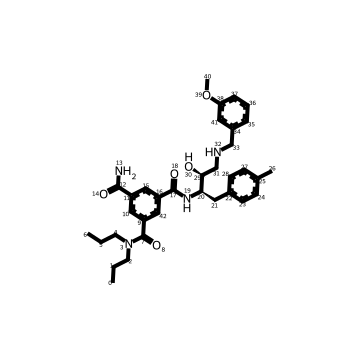 CCCN(CCC)C(=O)c1cc(C(N)=O)cc(C(=O)N[C@H](Cc2ccc(C)cc2)[C@@H](O)CNCc2cccc(OC)c2)c1